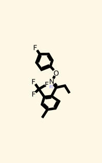 CC/C(=N\Oc1ccc(F)cc1)c1ccc(C)cc1C(F)(F)F